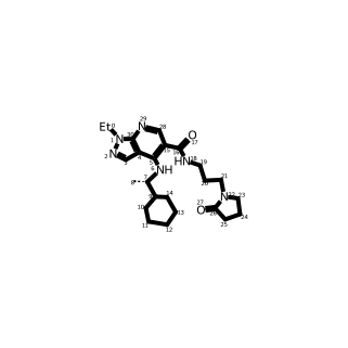 CCn1ncc2c(N[C@@H](C)C3CCCCC3)c(C(=O)NCCCN3CCCC3=O)cnc21